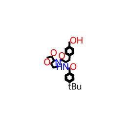 CC(C)(C)c1ccc(C(=O)NC(Cc2ccc(CO)cc2)C(=O)N2CCC3OCC(=O)C32)cc1